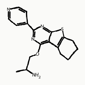 CC(N)COc1nc(-c2ccncc2)nc2sc3c(c12)CCCC3